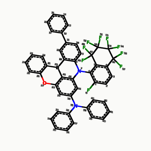 Fc1ccc2c(c1N1c3ccc(-c4ccccc4)cc3B3c4ccccc4Oc4cc(N(c5ccccc5)c5ccccc5)cc1c43)C(F)(F)C(F)(F)C(F)(F)C2(F)F